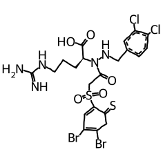 N=C(N)NCCC[C@@H](C(=O)O)N(NCc1ccc(Cl)c(Cl)c1)C(=O)CS(=O)(=O)C1=CC(Br)=C(Br)CC1=S